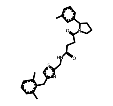 Cc1cccc(C2CCCN2C(=O)CCC(=O)NCc2nc(Cc3c(C)cccc3C)cs2)c1